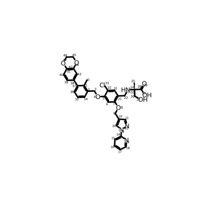 Cc1c(COc2cc(OCc3cnn(-c4ccccn4)c3)c(CN[C@@](C)(CO)C(=O)O)cc2Cl)cccc1-c1ccc2c(c1)OCCO2